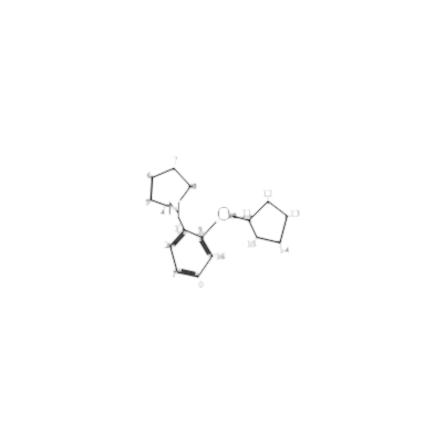 c1ccc(N2CCCC2)c(OC2CCCC2)c1